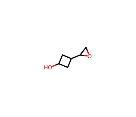 OC1CC(C2CO2)C1